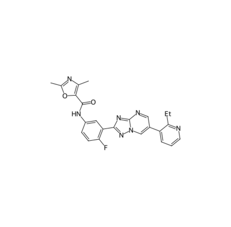 CCc1ncccc1-c1cnc2nc(-c3cc(NC(=O)c4oc(C)nc4C)ccc3F)nn2c1